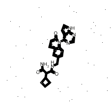 NC(=O)C(C(=O)NCc1ccc2c(ccc(=O)n2-c2ncnc3[nH]ccc23)c1)C1CCC1